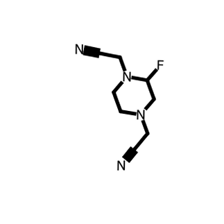 N#CCN1CCN(CC#N)C(F)C1